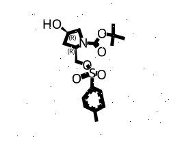 Cc1ccc(S(=O)(=O)OC[C@H]2C[C@@H](O)CN2C(=O)OC(C)(C)C)cc1